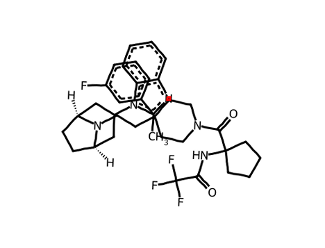 Cc1nc2ccccc2n1C1C[C@H]2CC[C@@H](C1)N2CCC1(c2cccc(F)c2)CCN(C(=O)C2(NC(=O)C(F)(F)F)CCCC2)CC1